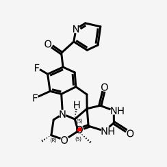 C[C@@H]1CN2c3c(cc(C(=O)c4ccccn4)c(F)c3F)CC3(C(=O)NC(=O)NC3=O)[C@H]2[C@H](C)O1